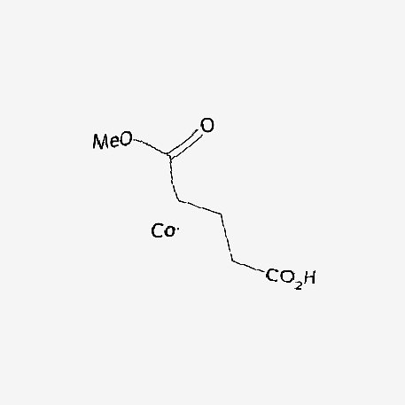 COC(=O)CCCC(=O)O.[Co]